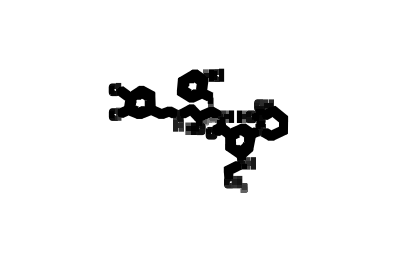 CCNc1cc(C(=O)N[C@@H](Cc2ccccc2)[C@@H](O)CNCCc2ccc(Cl)c(Cl)c2)cc(N2CCCCS2(O)O)c1.Cl